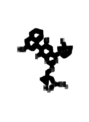 CN(C)CC1(COc2nc(N3CC4CC(F)(C3)N4)c3cc(Cl)c(-c4cc(O)cc5ccccc45)c(F)c3n2)CC1